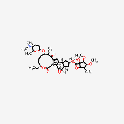 CC[C@H]1CCC[C@H](O[C@H]2CC[C@H](N(C)C)C(C)O2)[C@@H](C)C(=O)C2=C[C@H]3[C@@H]4C[C@H](O[C@@H]5OC6C(C)[C@H](OC)C(OC)C65OC)C[C@H]4[C@H]4O[C@H]4[C@H]3[C@@H]2CC(=O)O1